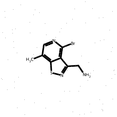 Cc1cnc(Br)c2c(CN)nsc12